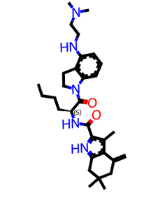 C=C1CC(C)(C)Cc2[nH]c(C(=O)N[C@@H](CCCC)C(=O)N3CCc4c(NCCN(C)C)cccc43)c(C)c21